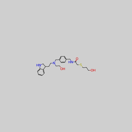 O=C(CSCCCO)NCc1ccc(CN(CCO)CCC2CNc3ccccc32)cc1